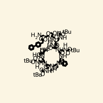 CC(C)C[C@@H]1NC(=O)[C@@H](Cc2ccccc2)NC(=O)[C@H](CCNC(=O)OC(C)(C)C)NC(=O)[C@@H](NC(=O)[C@H](CCNC(=O)OC(C)(C)C)NC(=O)[C@@H](NC(=O)[C@H](CCN)OC(=O)Cc2ccc(-c3ccccc3)cc2)C(C)O)CCNC(=O)[C@H]([C@H](C)O)NC(=O)[C@H](CCNC(=O)OC(C)(C)C)NC(=O)[C@H](CCNC(=O)OC(C)(C)C)NC1=O